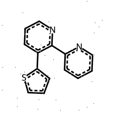 c1ccc(-c2ncccc2-c2cccs2)nc1